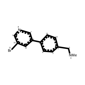 CNCc1ccc(-c2cncc(Br)c2)cc1